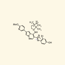 CCc1cc(O)ccc1/N=C(\N)c1cnn2cc(-c3ccc(OC)nc3)cc2c1N[C@@H]1CC[C@](C)(N)C1(C)C